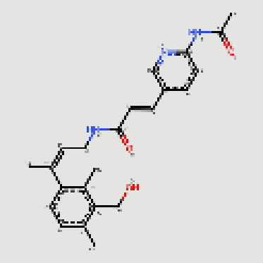 CC(=O)Nc1ccc(C=CC(=O)NCC=C(C)c2ccc(C)c(CO)c2C)cn1